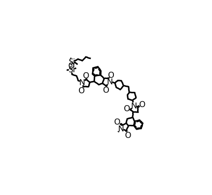 CCCC[Si](C)(C)O[Si](C)(C)CCCN1C(=O)CC(C2CC3C(=O)N(C4CCC(CC5CCC(N6C(=O)CC(C7CC8C(=O)N(C)C(=O)C8c8ccccc87)C6=O)CC5)CC4)C(=O)C3c3ccccc32)C1=O